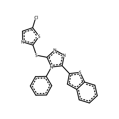 Clc1cnc(Sc2nnc(-c3cc4ccccc4s3)n2-c2ccccc2)s1